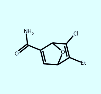 CCC1=C(Cl)C2OC1C=C2C(N)=O